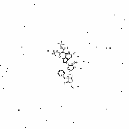 CCOC(=O)C(Cc1ccccc1)(OC[C@H]1O[C@@H](n2cnc3c(N(C(=O)OC(C)(C)C)C(=O)OC(C)(C)C)nc(Cl)nc32)[C@H](O)[C@@H]1C)C(C)=O